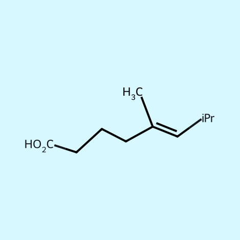 C/C(=C\C(C)C)CCCC(=O)O